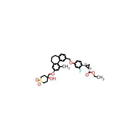 CCOC(=O)[C@H]1C[C@@H]1c1ccc(OCc2ccc3c(c2)-c2c(C)cc(OCC4(O)CCS(=O)(=O)CC4)cc2CCC3)cc1F